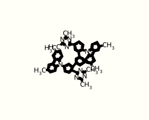 Cc1ccc2c(c1)c1cc(C)ccc1n2-c1ccc(-c2nc(C)nc(C)n2)c(-c2cccc(-c3cc(-c4nc(C)nc(C)n4)ccc3-n3c4ccc(C)cc4c4cc(C)ccc43)c2)c1